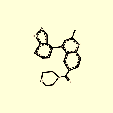 Cc1cc(-c2cccc3[nH]ncc23)c2cc(C(=O)N3CCOCC3)ccc2n1